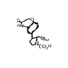 CC(C)(C)C1C(c2ccc3c(c2)NC(=O)CO3)CCN1C(=O)O